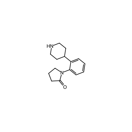 O=C1CCCN1c1ccccc1C1CCNCC1